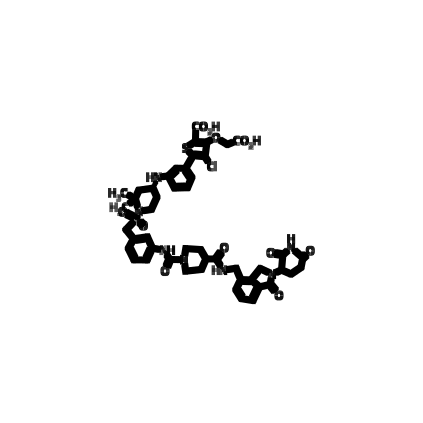 CC1(C)C[C@@H](Nc2cccc(-c3sc(C(=O)O)c(OCC(=O)O)c3Cl)c2)CCN1S(=O)(=O)Cc1cccc(NC(=O)N2CCC(C(=O)NCc3cccc4c3CN(C3CCC(=O)NC3=O)C4=O)CC2)c1